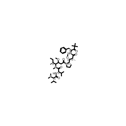 CC[C@H](C)C(C(CC(=O)N1CCC[C@H]1[C@H](OC)[C@@H](C)C(=O)N[C@@H](Cc1ccccc1)C(=O)C(C)(C)C)OC)N(C)C(=O)[C@@H](NC(=O)[C@H](C(C)C)N(C)C)C(C)C